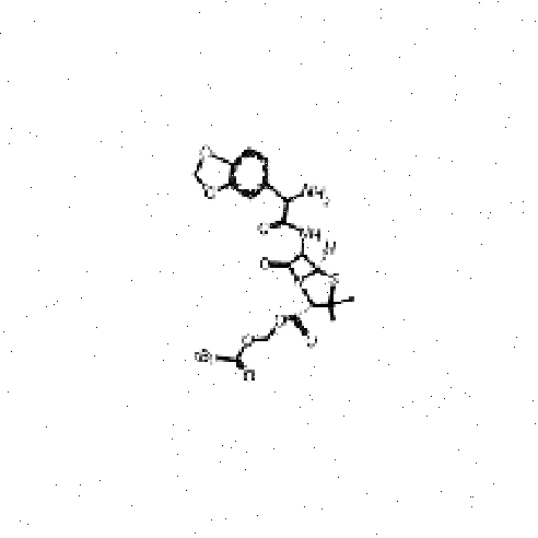 CC(C)(C)C(=O)OCOC(=O)[C@@H]1N2C(=O)C(NC(=O)C(N)c3ccc4c(c3)OCO4)[C@H]2SC1(C)C